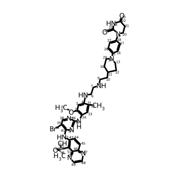 COc1cc(NCCNCCC2CCN(c3ccc(N4CCC(=O)NC4=O)cc3)CC2)c(C)cc1Nc1ncc(Br)c(Nc2ccc3nccnc3c2P(C)(C)=O)n1